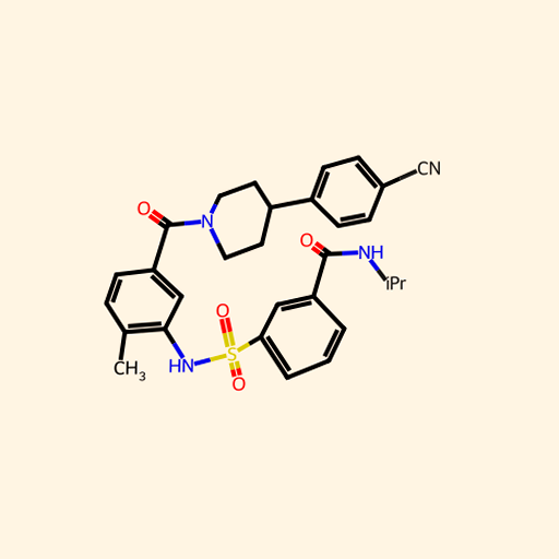 Cc1ccc(C(=O)N2CCC(c3ccc(C#N)cc3)CC2)cc1NS(=O)(=O)c1cccc(C(=O)NC(C)C)c1